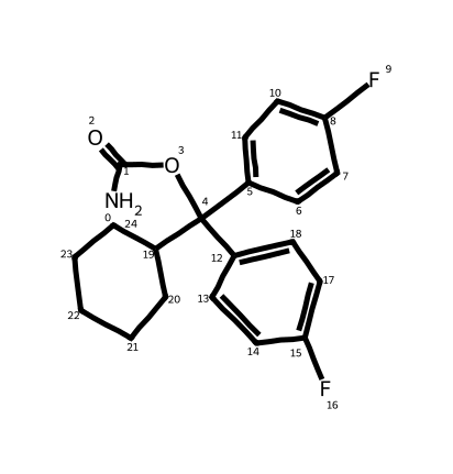 NC(=O)OC(c1ccc(F)cc1)(c1ccc(F)cc1)C1CCCCC1